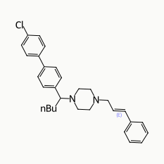 CCCCC(c1ccc(-c2ccc(Cl)cc2)cc1)N1CCN(C/C=C/c2ccccc2)CC1